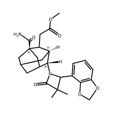 COC(=O)CC1[C@@H]2CC3CC(C[C@]1(C(N)=O)C3)[C@H]2N1C(=O)C(C)(C)C1c1cccc2c1OCO2